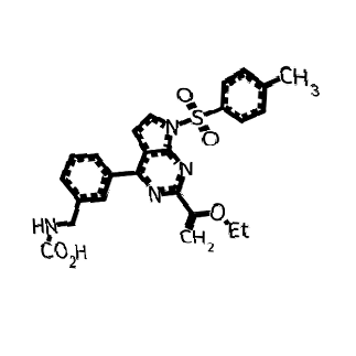 C=C(OCC)c1nc(-c2cccc(CNC(=O)O)c2)c2ccn(S(=O)(=O)c3ccc(C)cc3)c2n1